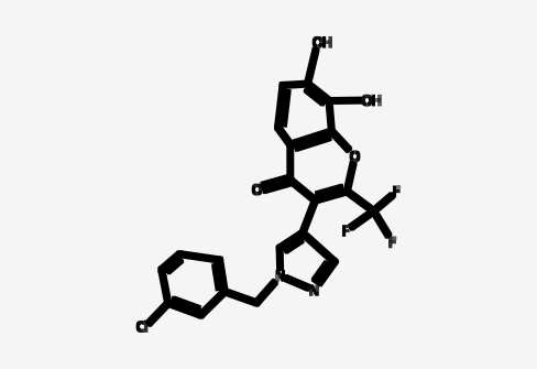 O=c1c(-c2cnn(Cc3cccc(Cl)c3)c2)c(C(F)(F)F)oc2c(O)c(O)ccc12